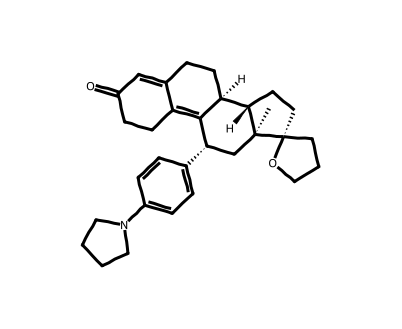 C[C@]12C[C@H](c3ccc(N4CCCC4)cc3)C3=C4CCC(=O)C=C4CC[C@H]3[C@@H]1CC[C@@]21CCCO1